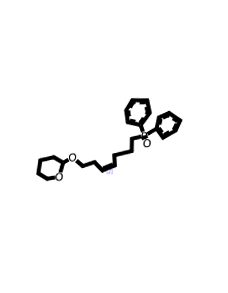 O=P(CCC/C=C\CCOC1CCCCO1)(c1ccccc1)c1ccccc1